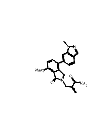 C=C(CN1Cc2c(-c3ccc4cnn(C)c4c3)ccc(OC)c2C1=O)C(N)=O